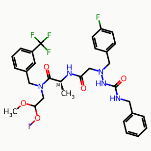 COC(CN(Cc1cccc(C(F)(F)F)c1)C(=O)[C@H](C)NC(=O)CN(Cc1ccc(F)cc1)NC(=O)NCc1ccccc1)OI